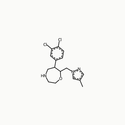 Cc1cnn(CC2OCCNCC2c2ccc(Cl)c(Cl)c2)c1